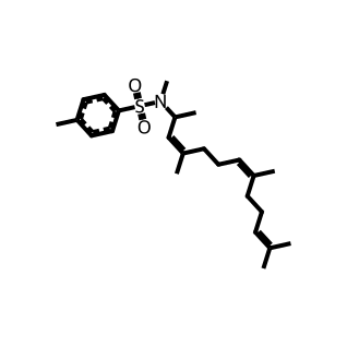 CC(C)=CCCC(C)=CCCC(C)=CC(C)N(C)S(=O)(=O)c1ccc(C)cc1